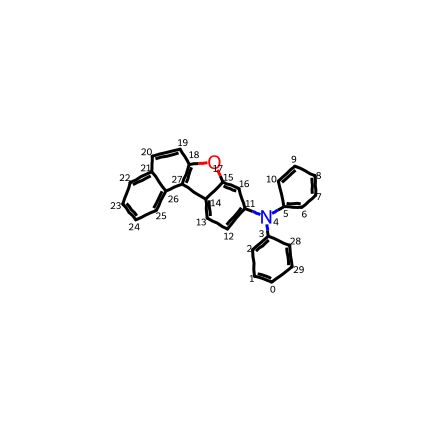 c1ccc(N(c2ccccc2)c2ccc3c(c2)oc2ccc4ccccc4c23)cc1